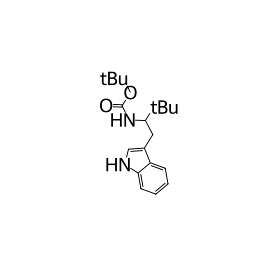 CC(C)(C)OC(=O)NC(Cc1c[nH]c2ccccc12)C(C)(C)C